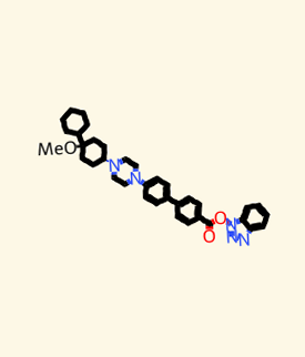 CO[C@]1(C2CCCCC2)CC[C@@H](N2CCN(c3ccc(-c4ccc(C(=O)On5nnc6ccccc65)cc4)cc3)CC2)CC1